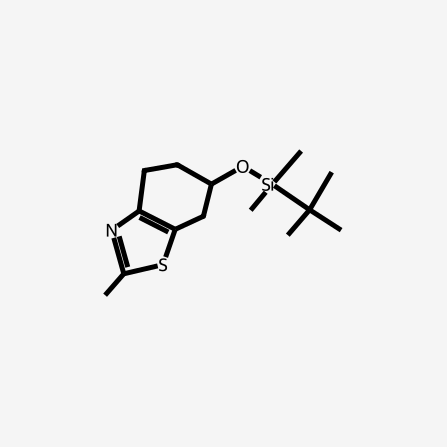 Cc1nc2c(s1)CC(O[Si](C)(C)C(C)(C)C)CC2